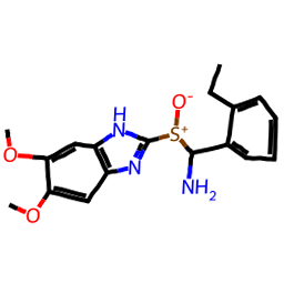 CCc1ccccc1C(N)[S+]([O-])c1nc2cc(OC)c(OC)cc2[nH]1